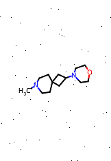 CN1CCC2(CC1)CC(N1CCOCC1)C2